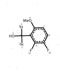 [2H]C([2H])(O)c1c(OC)ccc(F)c1F